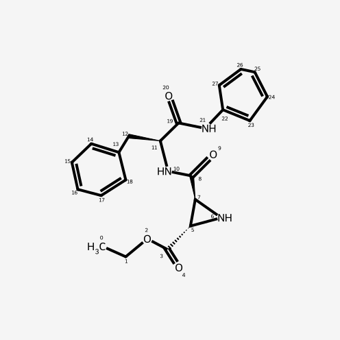 CCOC(=O)[C@H]1N[C@@H]1C(=O)N[C@@H](Cc1ccccc1)C(=O)Nc1ccccc1